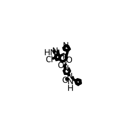 O=C(C[C@@H]1Cc2cc(Cl)c3[nH]ncc3c2CN(Cc2ccncc2)C1=O)N1CCC(n2cc(-c3ccccc3)[nH]c2=O)CC1